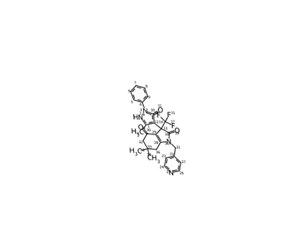 Cc1[nH]n(-c2ccccc2)c(=O)c1C1(C(F)(F)F)C(=O)N(Cc2ccncc2)C2=C1C(=O)CC(C)(C)C2